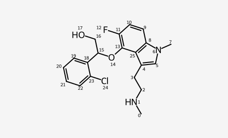 CNCCc1cn(C)c2ccc(F)c(OC(CO)c3ccccc3Cl)c12